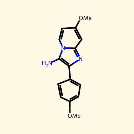 COc1ccc(-c2nc3cc(OC)ccn3c2N)cc1